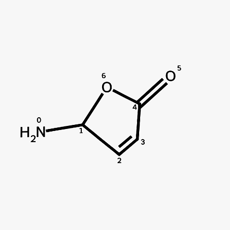 NC1C=CC(=O)O1